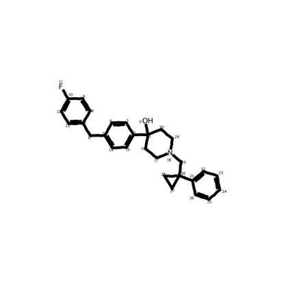 OC1(c2ccc(Cc3ccc(F)cc3)cc2)CCN(CC2(c3ccccc3)CC2)CC1